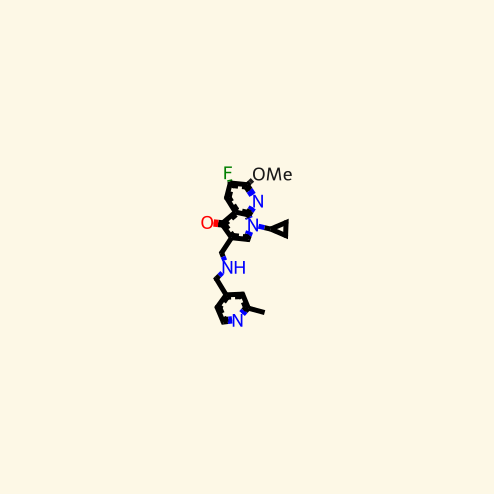 COc1nc2c(cc1F)c(=O)c(CNCc1ccnc(C)c1)cn2C1CC1